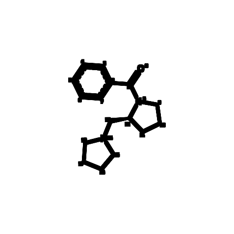 O=C(c1cc[c]cc1)N1CCC[C@H]1CN1CCCC1